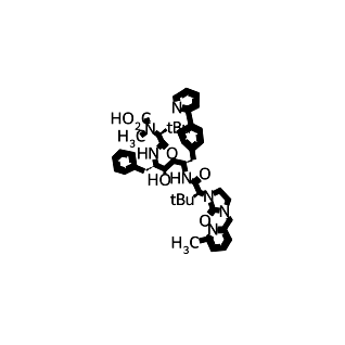 Cc1cccc(CN2CCN([C@H](C(=O)N[C@@H](Cc3ccc(-c4ccccn4)cc3)C[C@@H](O)[C@H](Cc3ccccc3)NC(=O)[C@@H](N(C)C(=O)O)C(C)(C)C)C(C)(C)C)C2=O)n1